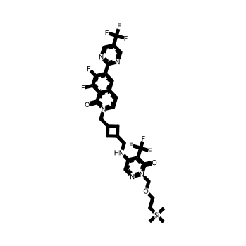 C[Si](C)(C)CCOCn1ncc(NCC2CC(Cn3ccc4cc(-c5ncc(C(F)(F)F)cn5)c(F)c(F)c4c3=O)C2)c(C(F)(F)F)c1=O